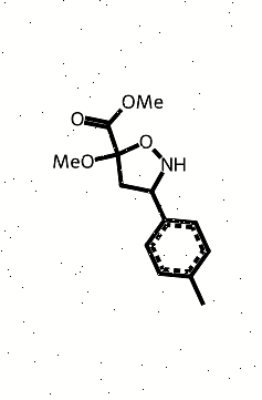 COC(=O)C1(OC)CC(c2ccc(C)cc2)NO1